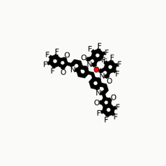 O=C1c2c(F)c(F)c(F)c(F)c2C(=O)C1c1ccc2c(N3C(=O)c4c(F)c(F)c(F)c(F)c4C3=O)c(Cc3ccc4nc(C5C(=O)c6c(F)c(F)c(F)c(F)c6C5=O)ccc4c3N3C(=O)c4c(F)c(F)c(F)c(F)c4C3=O)ccc2n1